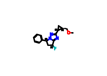 COC[C@H]1C[C@@H]1c1nc2n(n1)[C@H](c1ccccc1)C[C@@H]2F